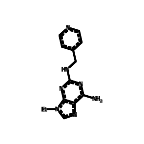 [CH2]Cn1cnc2c(N)nc(NCc3ccncc3)nc21